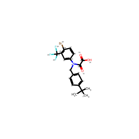 CC(C)(C)c1ccc(CN(C(=O)C(=O)O)c2ccc(Br)c(C(F)(F)F)c2)cc1